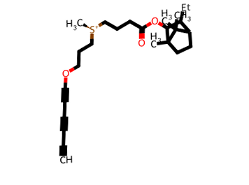 C#CC#CC#COCCC[S@@+](C)CCCC(=O)OC1C(CC)C2CCC1(C)C2(C)C